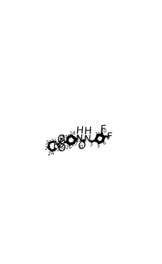 O=C(NCc1ccc(F)c(F)c1)Nc1ccc(S(=O)(=O)N2CCCCC2)cc1